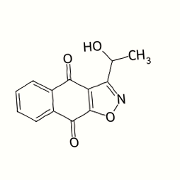 CC(O)c1noc2c1C(=O)c1ccccc1C2=O